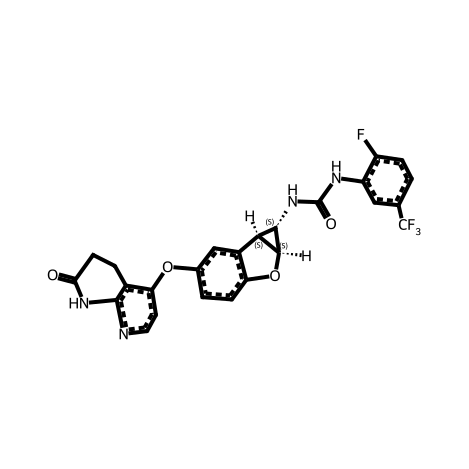 O=C1CCc2c(Oc3ccc4c(c3)[C@H]3[C@H](NC(=O)Nc5cc(C(F)(F)F)ccc5F)[C@H]3O4)ccnc2N1